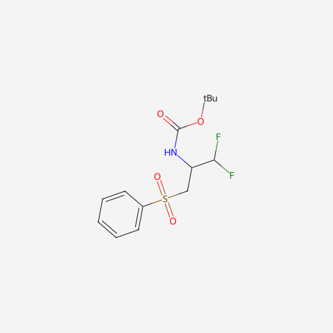 CC(C)(C)OC(=O)NC(CS(=O)(=O)c1ccccc1)C(F)F